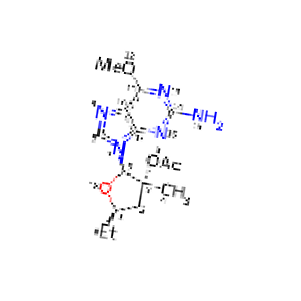 CC[C@@H]1C[C@@](C)(OC(C)=O)[C@H](n2cnc3c(OC)nc(N)nc32)O1